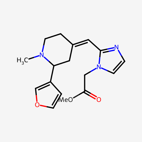 COC(=O)Cn1ccnc1C=C1CCN(C)C(c2ccoc2)C1